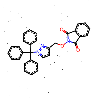 O=C1c2ccccc2C(=O)N1OCc1ccn(C(c2ccccc2)(c2ccccc2)c2ccccc2)n1